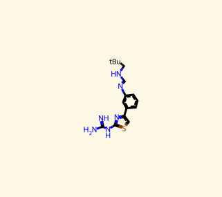 CC(C)(C)CN/C=N/c1cccc(-c2csc(NC(=N)N)n2)c1